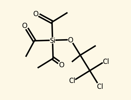 CC(=O)[Si](OC(C)(C)C(Cl)(Cl)Cl)(C(C)=O)C(C)=O